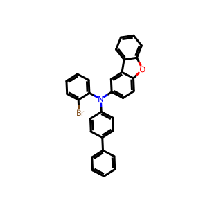 Brc1ccccc1N(c1ccc(-c2ccccc2)cc1)c1ccc2oc3ccccc3c2c1